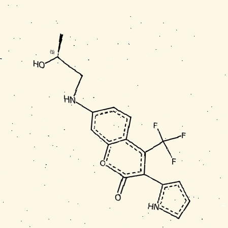 C[C@H](O)CNc1ccc2c(C(F)(F)F)c(-c3ccc[nH]3)c(=O)oc2c1